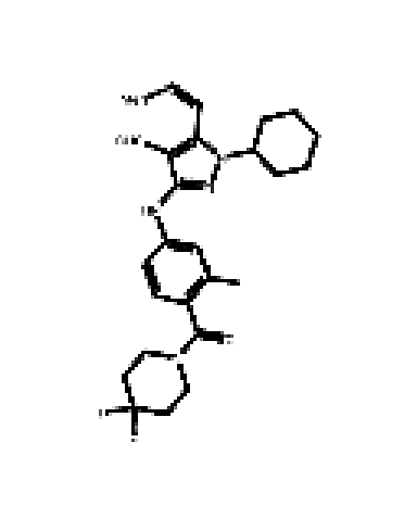 CN/C=C\c1c(C=O)c(Nc2ccc(C(=O)N3CCC(F)(F)CC3)c(C)c2)nn1C1CCCCC1